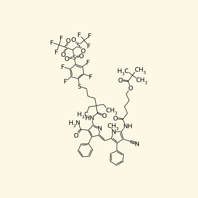 CCC(CC)(CCCSc1c(F)c(F)c(S(=O)(=O)C(S(=O)(=O)C(F)(F)F)S(=O)(=O)C(F)(F)F)c(F)c1F)C(=O)NC1=N/C(=C\c2c(-c3ccccc3)c(C#N)c(NC(=O)CCCCOC(=O)C(C)(C)C)n2C)C(c2ccccc2)=C1C(N)=O